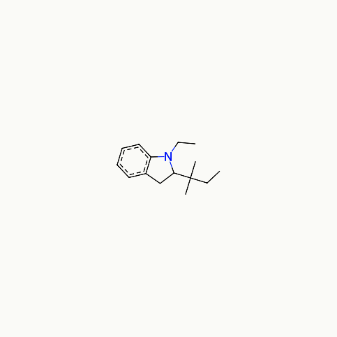 CCN1c2ccccc2CC1C(C)(C)CC